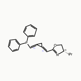 CC(C)[C@H]1COC(/C=C2\C\C2=C/P(c2ccccc2)c2ccccc2)=N1